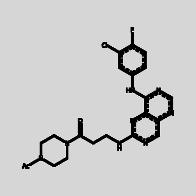 CC(=O)N1CCN(C(=O)CCNc2ncc3ncnc(Nc4ccc(F)c(Cl)c4)c3n2)CC1